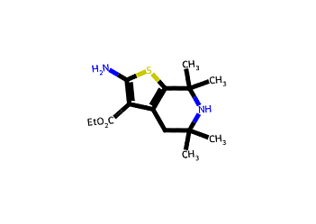 CCOC(=O)c1c(N)sc2c1CC(C)(C)NC2(C)C